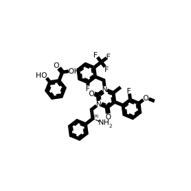 COc1cccc(-c2c(C)n(Cc3c(F)cccc3C(F)(F)F)c(=O)n(C[C@H](N)c3ccccc3)c2=O)c1F.O=C(O)c1ccccc1O